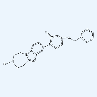 CC(C)N1CCc2cc3cc(-n4ccc(OCc5ccccc5)cc4=O)ccc3n2CC1